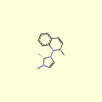 CB1C=Cc2ccccc2N1N1C=CN(C)[C@@H]1C